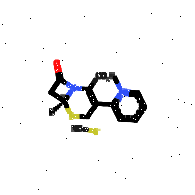 C[n+]1ccccc1C1=C(C(=O)O)N2C(=O)C[C@@H]2SC1.N#C[S-]